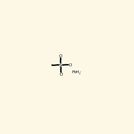 C[Si](Cl)(Cl)Cl.[PbH2]